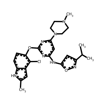 Cc1cc2c(Cl)c(Oc3nc(Nc4cc(C(C)C)no4)cc(N4CCN(C)CC4)n3)ccc2[nH]1